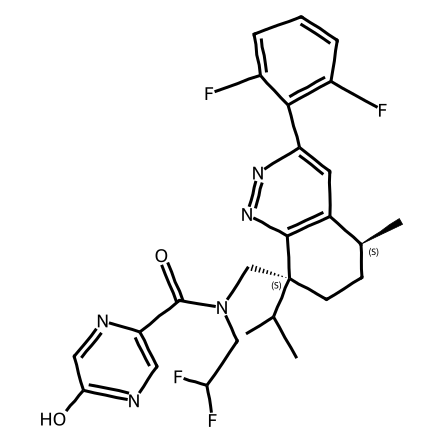 CC(C)[C@]1(CN(CC(F)F)C(=O)c2cnc(O)cn2)CC[C@H](C)c2cc(-c3c(F)cccc3F)nnc21